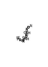 N#Cc1ccc(CN2CCC(NC(=O)c3cc4cc(NC(=O)c5cnn(Cc6ccc(C(F)(F)F)cc6)c5)ccc4o3)CC2)cc1